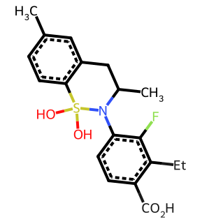 CCc1c(C(=O)O)ccc(N2C(C)Cc3cc(C)ccc3S2(O)O)c1F